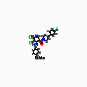 COc1ccc(CNc2c(C(=O)N3CCC(c4ccc(F)cc4)CC3)cnc(Cl)c2Cl)cc1